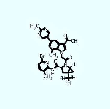 [2H]C([2H])([2H])[C@@]12C[C@@H](C(=O)Nc3nc(Br)ccc3C)N(C(=O)Cn3cc(C(C)=O)c4cc(-c5cnc(C)nc5)cc(C)c43)[C@@H]1C2